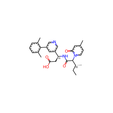 CC[C@@H](C)C(C(=O)N[C@@H](CC(=O)O)c1cncc(-c2c(C)cccc2C)c1)n1ccc(C)cc1=O